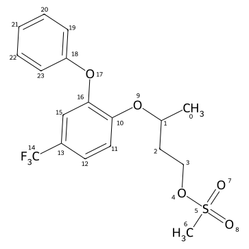 CC(CCOS(C)(=O)=O)Oc1ccc(C(F)(F)F)cc1Oc1ccccc1